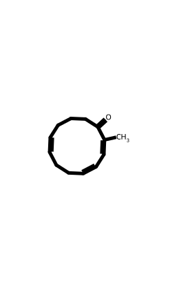 CC1=CC=CCCC=CCCCC1=O